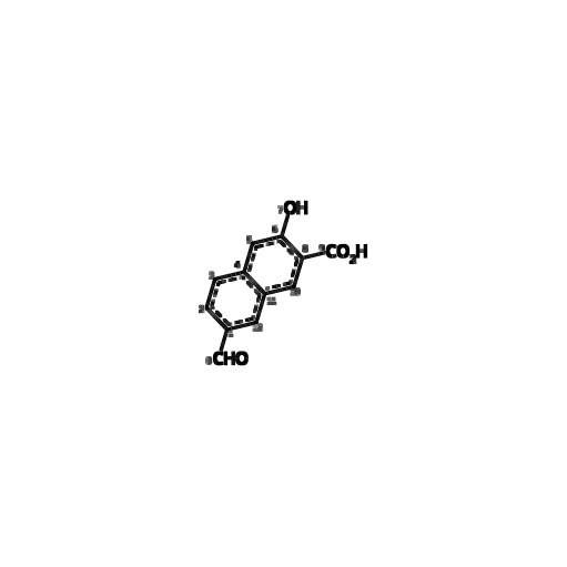 O=Cc1ccc2cc(O)c(C(=O)O)cc2c1